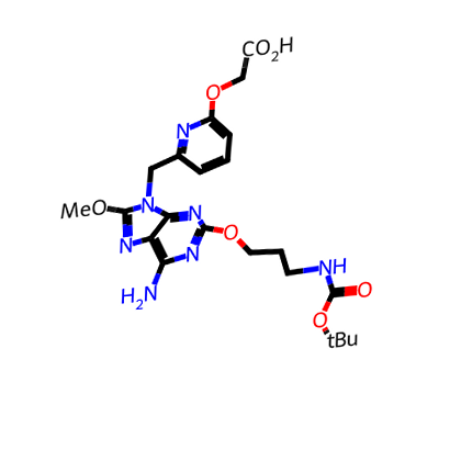 COc1nc2c(N)nc(OCCCNC(=O)OC(C)(C)C)nc2n1Cc1cccc(OCC(=O)O)n1